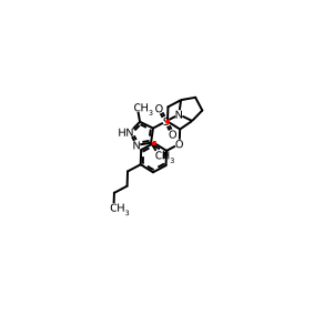 CCCCc1ccc(OC2CCC3CCC2N3S(=O)(=O)c2c(C)n[nH]c2C)cc1